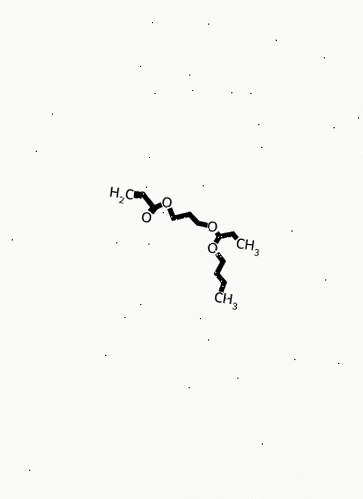 C=CC(=O)OCCCOC(CC)OCCCC